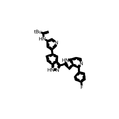 C=C(Nc1cncc(-c2ccc3[nH]nc(-c4cc5c(-c6ccc(F)cc6)nccc5[nH]4)c3c2)c1)C(C)(C)C